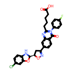 O=C(O)CCCCc1nc2cc(C3=NO[C@@H](C4Nc5ccc(Cl)cc5O4)C3)ccc2c(=O)n1-c1ccc(F)cc1